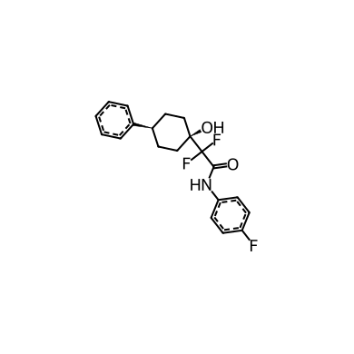 O=C(Nc1ccc(F)cc1)C(F)(F)[C@]1(O)CC[C@@H](c2ccccc2)CC1